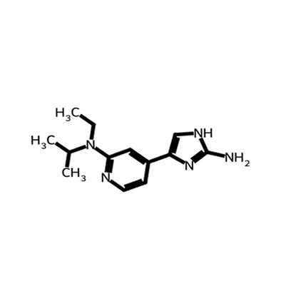 CCN(c1cc(-c2c[nH]c(N)n2)ccn1)C(C)C